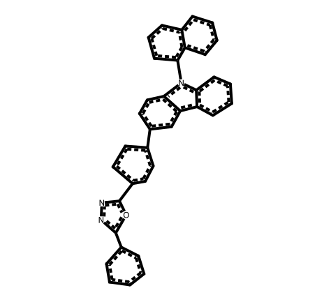 c1ccc(-c2nnc(-c3ccc(-c4ccc5c(c4)c4ccccc4n5-c4cccc5ccccc45)cc3)o2)cc1